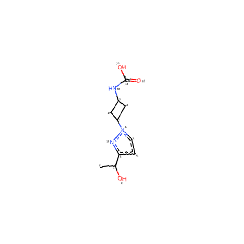 CC(O)c1ccn(C2CC(NC(=O)O)C2)n1